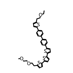 CCOCCc1ccc(-c2ccc(-c3ccc(-c4ccc(-c5ccc(-c6ccc(CCOCCOC)s6)s5)s4)cc3)cc2)s1